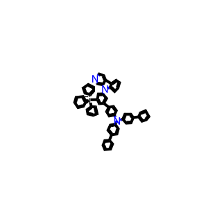 c1ccc(-c2ccc(N(c3ccc(-c4ccccc4)cc3)c3ccc(-c4cc(-n5c6ccccc6c6ccncc65)cc([Si](c5ccccc5)(c5ccccc5)c5ccccc5)c4)cc3)cc2)cc1